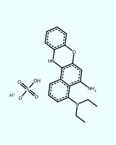 CCN(CC)c1cccc2c3c(cc(N)c12)Oc1ccccc1N3.O=S(=O)([O-])O.[H+]